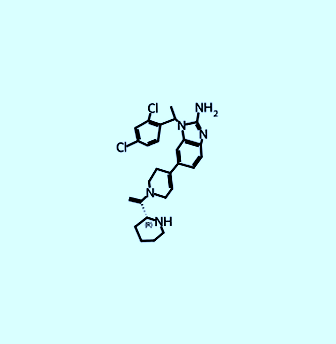 C=C([C@H]1CCCCN1)N1CC=C(c2ccc3nc(N)n(C(C)c4ccc(Cl)cc4Cl)c3c2)CC1